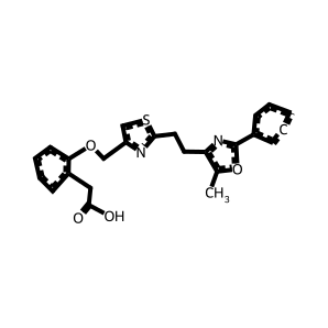 Cc1oc(-c2ccccc2)nc1CCc1nc(COc2ccccc2CC(=O)O)cs1